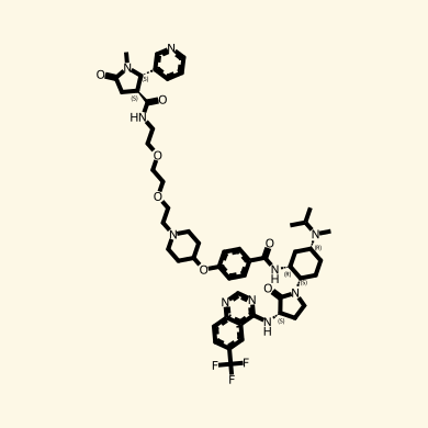 CC(C)N(C)[C@@H]1CC[C@H](N2CC[C@H](Nc3ncnc4ccc(C(F)(F)F)cc34)C2=O)[C@H](NC(=O)c2ccc(OC3CCN(CCOCCOCCNC(=O)[C@H]4CC(=O)N(C)[C@@H]4c4cccnc4)CC3)cc2)C1